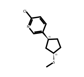 CS[C@H]1CC[C@H](c2ccc(Cl)nc2)C1